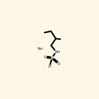 CCC(C)CNS(=O)(=O)[O-].[Na+]